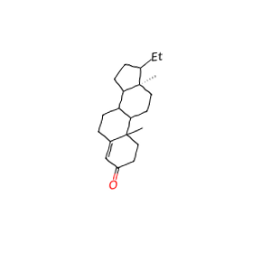 CCC1CCC2C3CCC4=CC(=O)CCC4(C)C3CC[C@]12C